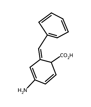 NC1=CC(=Cc2ccccc2)C(C(=O)O)C=C1